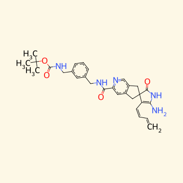 C=C/C=C\C1=C(N)NC(=O)C12Cc1cnc(C(=O)NCc3cccc(CNC(=O)OC(C)(C)C)c3)cc1C2